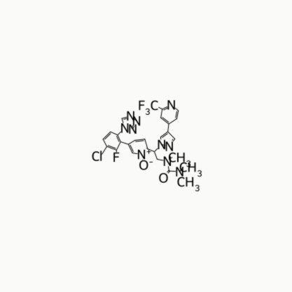 CN(C)C(=O)N(C)CC(c1ccc(-c2c(-n3cnnn3)ccc(Cl)c2F)c[n+]1[O-])n1cc(-c2ccnc(C(F)(F)F)c2)cn1